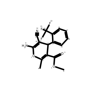 COC(=O)C1=C(C)OC(N)=C(C#N)C1c1ccccc1C(F)(F)F